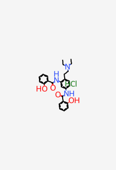 CCN(CC)CCc1ccc(NC(=O)c2ccccc2O)cc1NC(=O)c1ccccc1O.Cl